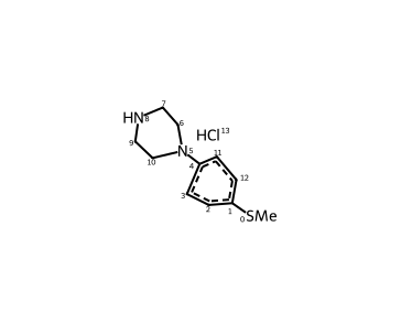 CSc1ccc(N2CCNCC2)cc1.Cl